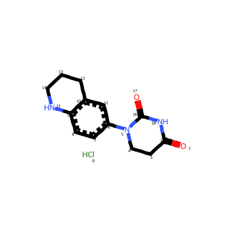 Cl.O=C1CCN(c2ccc3c(c2)CCCN3)C(=O)N1